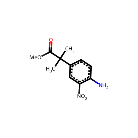 COC(=O)C(C)(C)c1ccc(N)c([N+](=O)[O-])c1